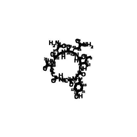 CCC(C)C1NC(=O)[C@H](Cc2ccc(O)cc2)NC(=O)CNC(=O)CCC(C(C)=O)NC(=O)[C@H](CC(N)=O)NC(=O)[C@H](CCC(N)=O)NC1=O